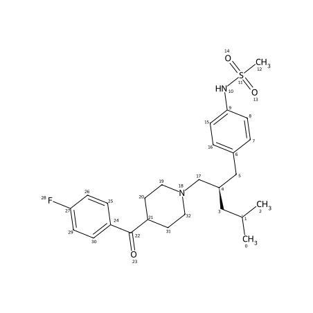 C[C](C)C[C@H](Cc1ccc(NS(C)(=O)=O)cc1)CN1CCC(C(=O)c2ccc(F)cc2)CC1